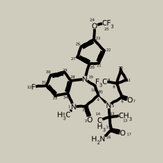 CN1C(=O)[C@H](N(C(=O)C2(C(F)(F)F)CC2)C(C)(C)C(N)=O)CN(c2ccc(OC(F)(F)F)cc2)c2ccc(F)cc21